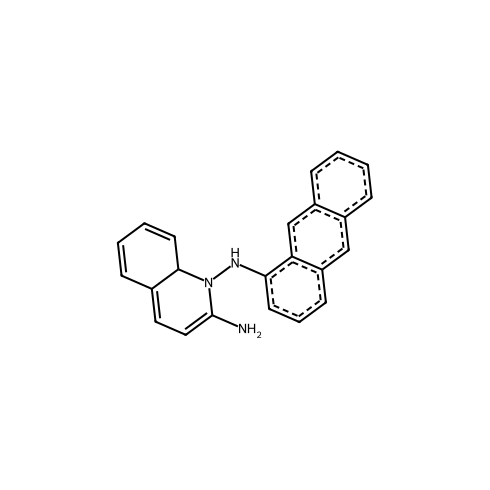 NC1=CC=C2C=CC=CC2N1Nc1cccc2cc3ccccc3cc12